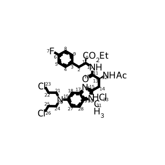 CCOC(=O)[C@H](Cc1ccc(F)cc1)NC(=O)[C@H](Cc1nc2cc(N(CCCl)CCCl)ccc2n1C)NC(C)=O.Cl